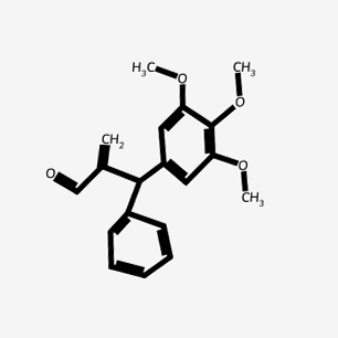 C=C(C=O)C(c1ccccc1)c1cc(OC)c(OC)c(OC)c1